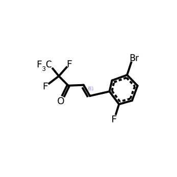 O=C(/C=C/c1cc(Br)ccc1F)C(F)(F)C(F)(F)F